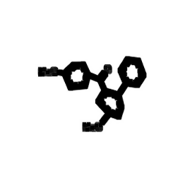 COc1ccc(C(=O)c2cc(OC)ccc2-c2ccccc2)cc1